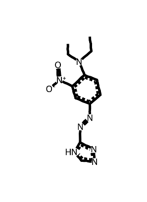 CCN(CC)c1ccc(N=Nc2nnc[nH]2)cc1[N+](=O)[O-]